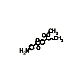 CCCCC(C(=O)OCC)c1ccc2c(=O)c(-c3ccc(N)cc3)coc2c1